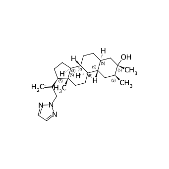 C=C(Cn1nccn1)[C@H]1CC[C@H]2[C@@H]3CC[C@H]4C[C@](C)(O)[C@@H](C)C[C@@H]4[C@H]3CC[C@]12C